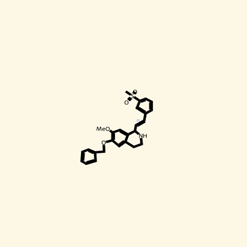 COc1cc2c(cc1OCc1ccccc1)CCNC2/C=C/c1cccc(S(C)(=O)=O)c1